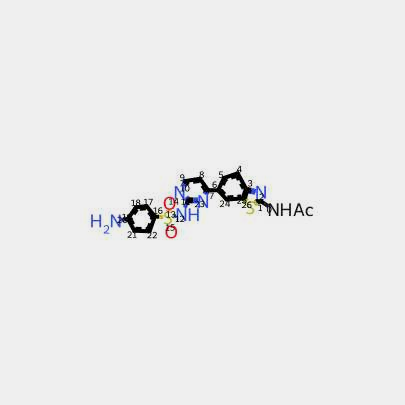 CC(=O)Nc1nc2ccc(-c3ccnc(NS(=O)(=O)c4ccc(N)cc4)n3)cc2s1